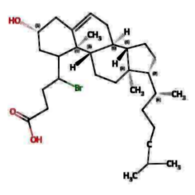 CC(C)CCC[C@@H](C)[C@H]1CC[C@H]2[C@@H]3CC=C4C[C@@H](O)CC(C(Br)CCC(=O)O)[C@]4(C)[C@H]3CC[C@]12C